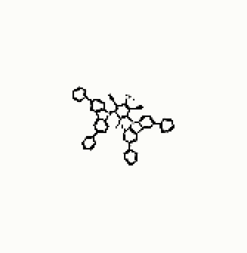 Cc1c(C#N)c(-n2c3ccc(-c4ccccc4)cc3c3cc(-c4ccccc4)ccc32)c(C)c(-n2c3ccc(-c4ccccc4)cc3c3cc(-c4ccccc4)ccc32)c1C#N